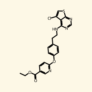 CCOC(=O)c1ccc(Oc2ccc(CCNc3ncnc4scc(Cl)c34)cc2)nc1